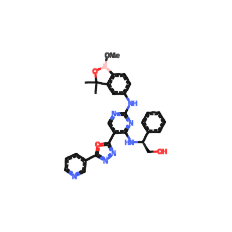 COB1OC(C)(C)c2cc(Nc3ncc(-c4nnc(-c5cccnc5)o4)c(N[C@H](CO)c4ccccc4)n3)ccc21